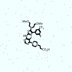 COCCN(CCOC)c1sc(Nc2ncnc(N3CCN(CCC(=O)O)CC3)c2F)nc1-c1cc(F)cc(C(F)(F)F)c1